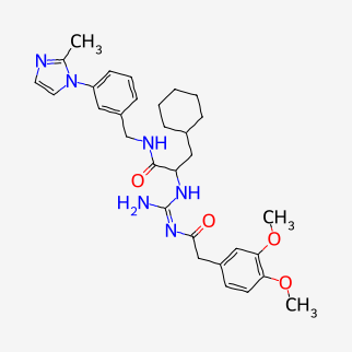 COc1ccc(CC(=O)N=C(N)NC(CC2CCCCC2)C(=O)NCc2cccc(-n3ccnc3C)c2)cc1OC